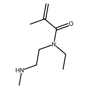 C=C(C)C(=O)N(CC)CCNC